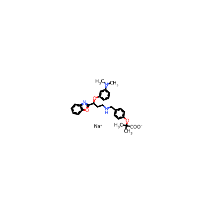 CN(C)c1cccc(OC(CCNCc2ccc(OC(C)(C)C(=O)[O-])cc2)c2nc3ccccc3o2)c1.[Na+]